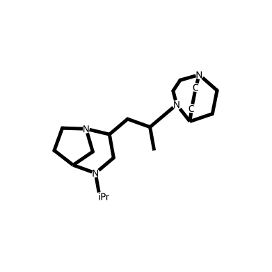 CC(C)N1CC(CC(C)N2CCN3CCC2CC3)N2CCC1C2